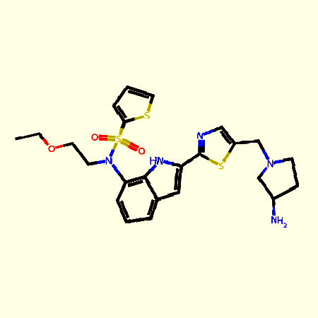 CCOCCN(c1cccc2cc(-c3ncc(CN4CCC(N)C4)s3)[nH]c12)S(=O)(=O)c1cccs1